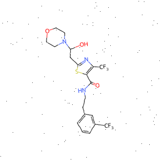 O=C(NCCc1cccc(C(F)(F)F)c1)c1sc(CC(O)N2CCOCC2)nc1C(F)(F)F